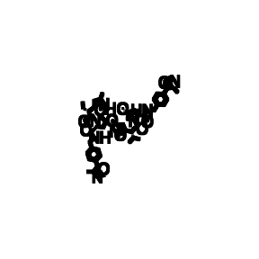 CC[C@@H](C(=O)N1C[C@H](Oc2cc([C@H](C(=O)N3C[C@H](O)C[C@H]3C(=O)NCc3ccc(-c4ocnc4C)cc3)C(C)C)on2)C[C@H]1C(=O)NCc1ccc(-c2ocnc2C)cc1)c1cc(C)no1